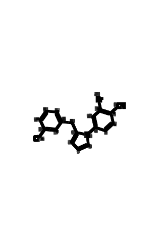 N#Cc1ccc(-n2cccc2Cc2cccc(Cl)c2)cc1Br